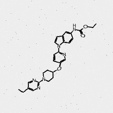 CCOC(=O)Nc1ccc2c(ccn2-c2ccc(OC3CCN(c4ncc(CC)cn4)CC3)cn2)c1